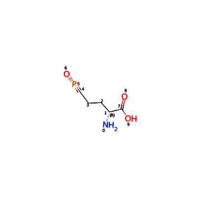 N[C@H](CCC#P=O)C(=O)O